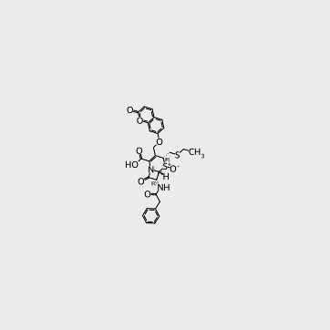 CCSC[C@H]1C(COc2ccc3ccc(=O)oc3c2)=C(C(=O)O)N2C(=O)[C@@H](NC(=O)Cc3ccccc3)[C@H]2[S+]1[O-]